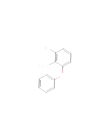 O=Cc1cccc(Oc2ccccc2)c1C=O